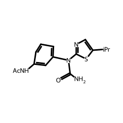 CC(=O)Nc1cccc(N(C(N)=O)c2ncc(C(C)C)s2)c1